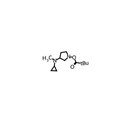 CN(C1CC1)C1CCN(OC(=O)C(C)(C)C)C1